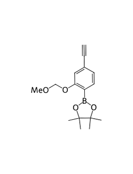 C#Cc1ccc(B2OC(C)(C)C(C)(C)O2)c(OCOC)c1